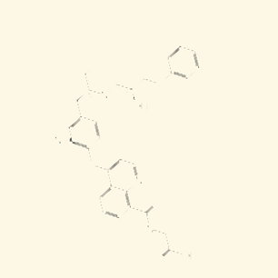 O=C(O)CNC(=O)c1cccc2c(Oc3ccc(C[C@@H](CO)NC[C@H](O)COc4ccccc4)cc3)ccnc12.[NaH]